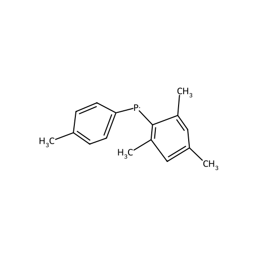 Cc1ccc([P]c2c(C)cc(C)cc2C)cc1